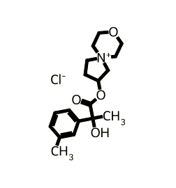 Cc1cccc(C(C)(O)C(=O)OC2CC[N+]3(CCOCC3)C2)c1.[Cl-]